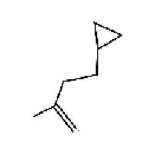 [CH]=C(C)CCC1CC1